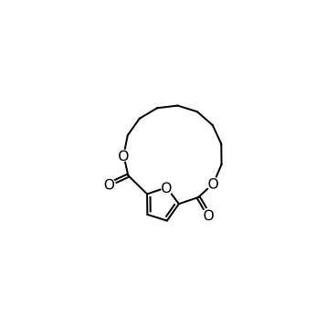 O=C1OCCCCCCCCOC(=O)c2ccc1o2